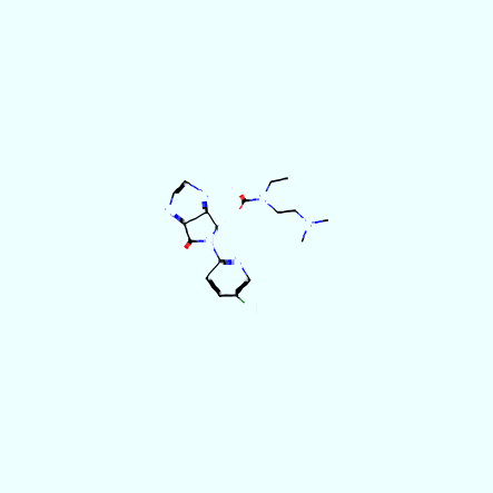 CCN(CCN(C)C)C(=O)O[C@H]1c2nccnc2C(=O)N1c1ccc(Cl)cn1